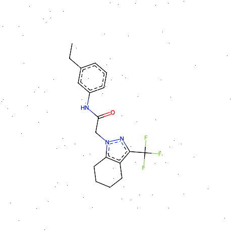 CCc1cccc(NC(=O)Cn2nc(C(F)(F)F)c3c2CCCC3)c1